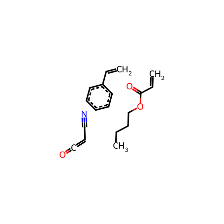 C=CC(=O)OCCCC.C=Cc1ccccc1.N#CC=C=O